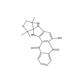 CC1(C)COC(C)(C)C12Nc1cc(O)c3c(c1N2)C(=O)c1ccccc1C3=O